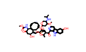 COC(=O)NC1C(=O)C[C@H](O)/C(=C/CSC(C)=O)C2=C1C#C/C=C\C#C[C@@H]2OC1OC(C)C(C(=O)c2nccc3c2[nH]c2ccc(O)cc23)CC1OC1CC(OC)C(NC(C)C)CO1